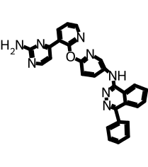 Nc1nccc(-c2cccnc2Oc2ccc(Nc3nnc(-c4ccccc4)c4ccccc34)cn2)n1